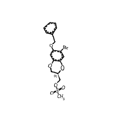 CS(=O)(=O)OC[C@H]1COc2cc(OCc3ccccc3)c(Br)cc2O1